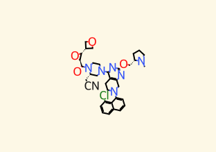 CN1CCC[C@H]1COc1nc2c(c(N3CCN(C(=O)[C@H]4O[C@@H]4C4COC4)[C@@H](CC#N)C3)n1)CCN(c1cccc3cccc(Cl)c13)C2